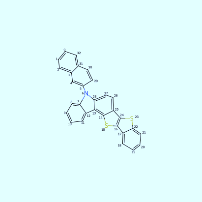 c1ccc2cc(-n3c4ccccc4c4c5sc6c7ccccc7sc6c5ccc43)ccc2c1